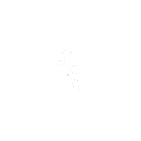 CC[C@H](c1cnn(-c2ccccc2F)c1)n1nc(-c2cnc(C(F)(F)F)nc2)c2c(N)ncnc21